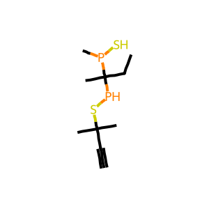 C#CC(C)(C)SPC(C)(CC)P(C)S